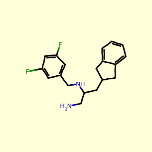 NCC(CC1Cc2ccccc2C1)NCc1cc(F)cc(F)c1